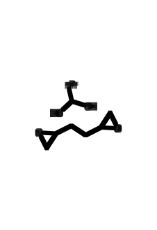 C(CC1CO1)C1CO1.CCCC(O)O